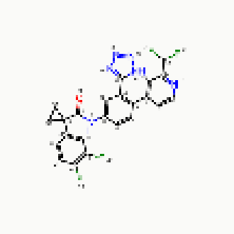 O=C(Nc1ccc(-c2ccnc(C(F)F)c2)c(-c2nnn[nH]2)c1)C1(c2ccc(F)c(F)c2)CC1